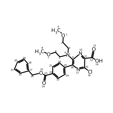 COCCN(CCOC)c1nc(C(=O)O)c(Cl)nc1-c1ccc(C(=O)OCc2ccccc2)cc1